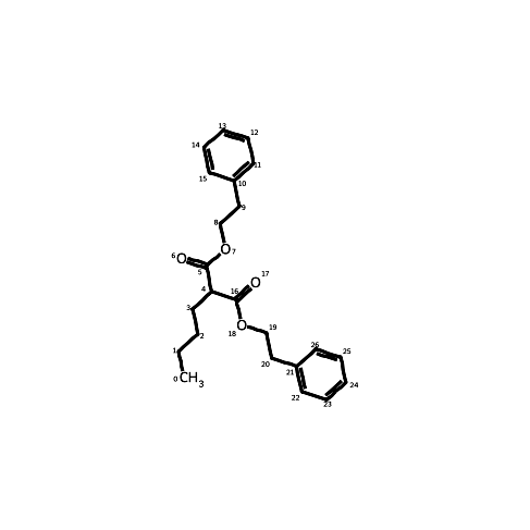 CCCCC(C(=O)OCCc1ccccc1)C(=O)OCCc1ccccc1